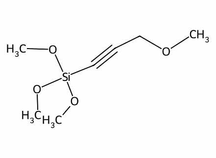 COCC#C[Si](OC)(OC)OC